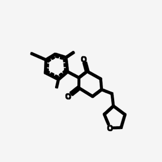 Cc1cc(C)c(C2C(=O)CC(CC3CCOC3)CC2=O)c(C)c1